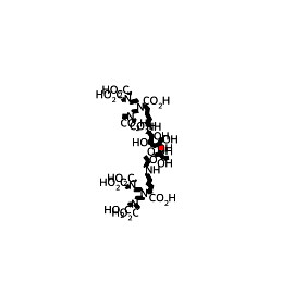 CC(CNCCCCC(C(=O)O)N(CCN(CC(=O)O)CC(=O)O)CCN(CC(=O)O)CC(=O)O)OC(OC(C(O)CO)C(O)C(O)CNCCCCC(C(=O)O)N(CCN(CC(=O)O)CC(=O)O)CCN(CC(=O)O)CC(=O)O)C(O)C(C)O